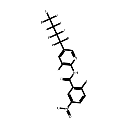 O=C(Nc1ncc(C(F)(F)C(F)(F)C(F)(F)C(F)(F)F)cc1F)c1cc([N+](=O)[O-])ccc1I